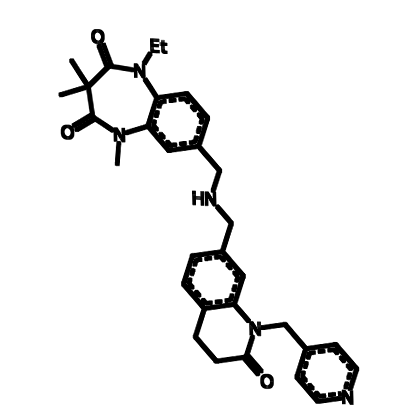 CCN1C(=O)C(C)(C)C(=O)N(C)c2cc(CNCc3ccc4c(c3)N(Cc3ccncc3)C(=O)CC4)ccc21